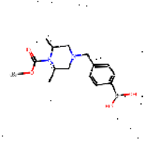 CC1CN(Cc2ccc(B(O)O)cc2)CC(C)N1C(=O)OC(C)(C)C